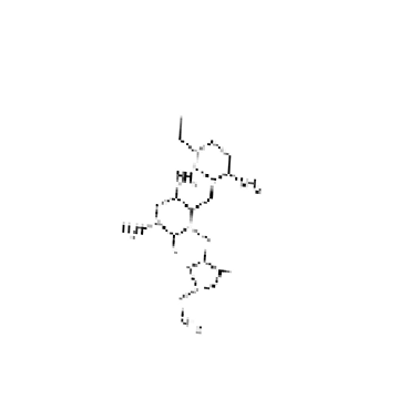 CCC1CCC(N)C(CC2C(N)CC(N)C(C)C2CC2CC(CN)CC2C)C1